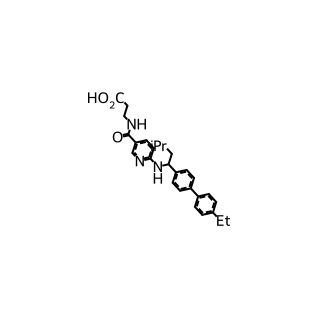 CCc1ccc(-c2ccc(C(CC(C)C)Nc3ccc(C(=O)NCCC(=O)O)cn3)cc2)cc1